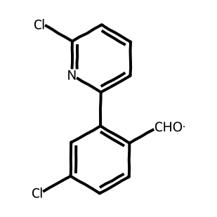 O=[C]c1ccc(Cl)cc1-c1cccc(Cl)n1